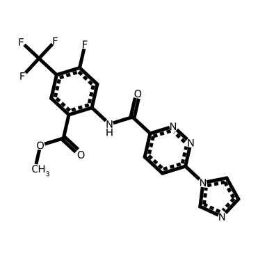 COC(=O)c1cc(C(F)(F)F)c(F)cc1NC(=O)c1ccc(-n2ccnc2)nn1